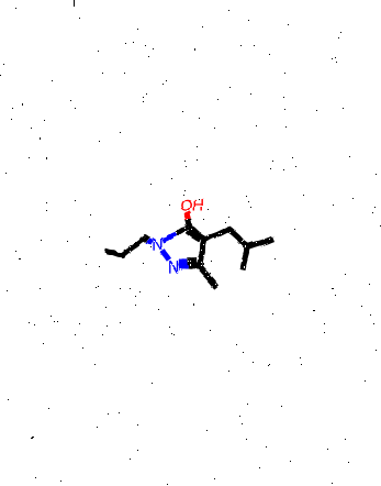 CCCn1nc(C)c(CC(C)C)c1O